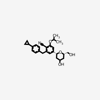 CC(C)Oc1cc([C@H]2CC(O)C[C@@H](CO)O2)cc(Cc2ccc(C3CC3)cc2)c1C#N